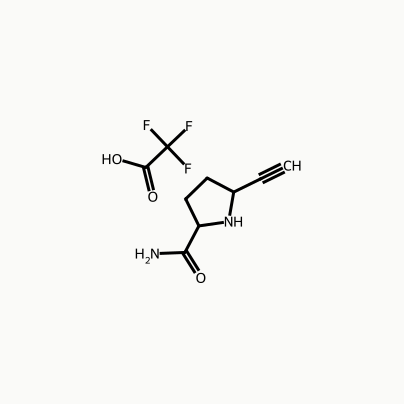 C#CC1CCC(C(N)=O)N1.O=C(O)C(F)(F)F